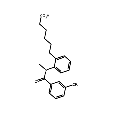 CN(C(=O)c1cccc(C(F)(F)F)c1)c1ccccc1CCCCCC(=O)O